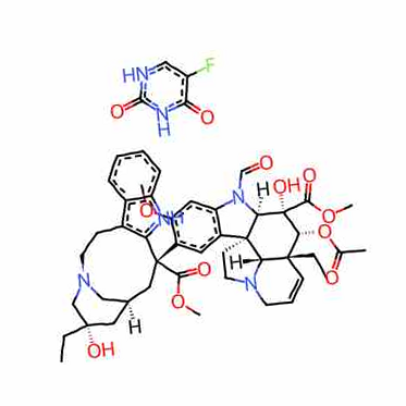 CC[C@]1(O)C[C@H]2C[N@](CCc3c([nH]c4ccccc34)[C@@](C(=O)OC)(c3cc4c(cc3OC)N(C=O)[C@H]3[C@@](O)(C(=O)OC)[C@H](OC(C)=O)[C@]5(CC)C=CCN6CC[C@]43[C@@H]65)C2)C1.O=c1[nH]cc(F)c(=O)[nH]1